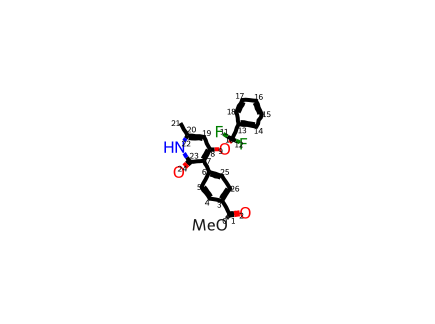 COC(=O)c1ccc(-c2c(OC(F)(F)c3ccccc3)cc(C)[nH]c2=O)cc1